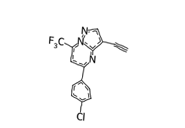 C#Cc1cnn2c(C(F)(F)F)cc(-c3ccc(Cl)cc3)nc12